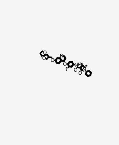 Cc1c(C(=O)Nc2ccc(Oc3ccnc4cc(OCC5COC6(CCCO6)C5)ccc34)c(F)c2)c(=O)n(-c2ccccc2)n1C